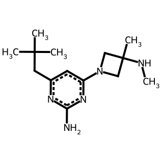 CNC1(C)CN(c2cc(CC(C)(C)C)nc(N)n2)C1